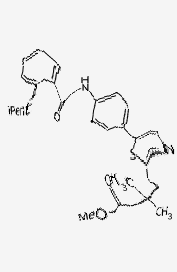 CCCC(C)c1ccccc1C(=O)Nc1ccc(-c2cnc(CC(C)(C)CC(=O)OC)s2)cc1